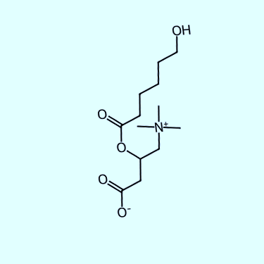 C[N+](C)(C)CC(CC(=O)[O-])OC(=O)CCCCCO